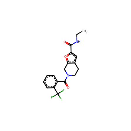 CCNC(=O)c1cc2c(o1)CN(C(=O)c1ccccc1C(F)(F)F)CC2